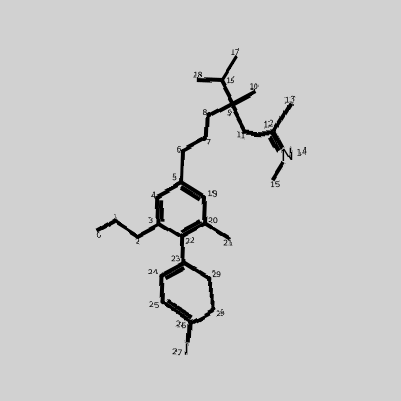 CCCc1cc(CCCC(C)(C/C(C)=N\C)C(C)C)cc(C)c1C1=CC=C(I)CC1